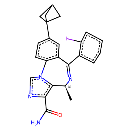 C[C@@H]1N=C(c2ccccc2I)c2cc(C34CC(C3)C4)ccc2-n2cnc(C(N)=O)c21